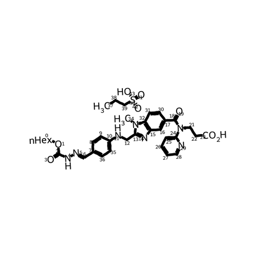 CCCCCCOC(=O)NN=Cc1ccc(NCc2nc3cc(C(=O)N(CCC(=O)O)c4ccccn4)ccc3n2C)cc1.CCCS(=O)(=O)O